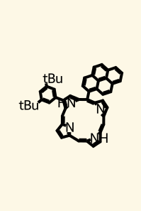 CC(C)(C)c1cc(-c2cc3[nH]c2cc2nc(cc4ccc(cc5nc(c3-c3ccc6ccc7cccc8ccc3c6c78)C=C5)[nH]4)C=C2)cc(C(C)(C)C)c1